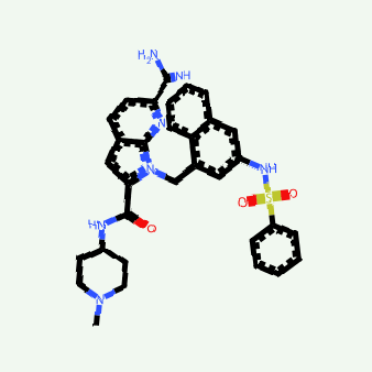 CN1CCC(NC(=O)c2cc3ccc(C(=N)N)nc3n2Cc2cc(NS(=O)(=O)c3ccccc3)cc3ccccc23)CC1